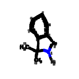 CCN1[Se]c2ccccc2C1(C)C